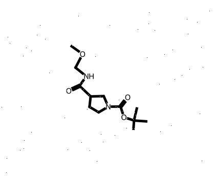 COCNC(=O)C1CCN(C(=O)OC(C)(C)C)C1